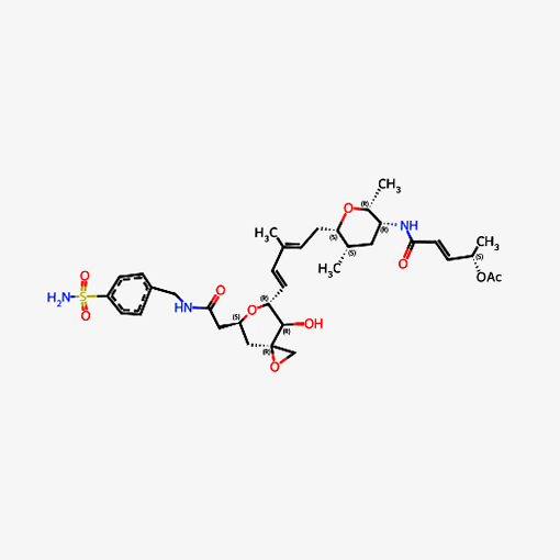 CC(=O)O[C@@H](C)C=CC(=O)N[C@@H]1C[C@H](C)[C@H](CC=C(C)C=C[C@H]2O[C@H](CC(=O)NCc3ccc(S(N)(=O)=O)cc3)C[C@@]3(CO3)[C@@H]2O)O[C@@H]1C